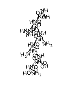 CN[C@@H](CO)C(=O)NCC(=O)N[C@@H](CCCNC(=N)N)C(=O)NCC(=O)N[C@@H](CCCN)C(=O)NCC(=O)N[C@@H](CCCN)C(=O)NCC(=O)N[C@@H](CCC(=O)O)C(=O)NCC(=O)N[C@@H](CO)C(N)=O